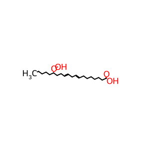 CCCCCC(CCC=CCC=CCCCCCCC(=O)O)OO